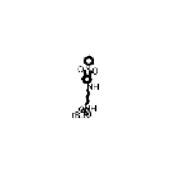 CC(C)(C)S(=O)(=O)NCCCCCNc1ccc2c(c1)C(=O)N(C1CCCCC1)C2=O